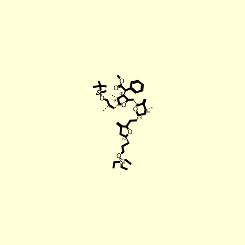 C=C1C[C@H](CCCO[Si](CC)(CC)CC)OC1CC[C@H]1C[C@@H](C)C(=C)[C@@H](CC2O[C@H](C[C@H](C)CO[Si](C)(C)C(C)(C)C)[C@H](C)[C@H]2C(C(=O)OC)c2ccccc2)O1